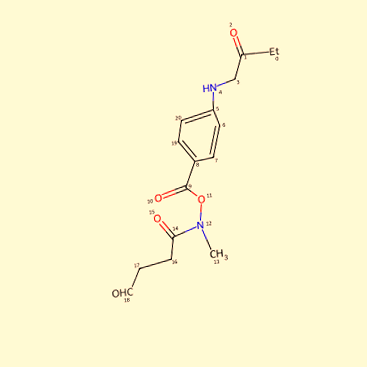 CCC(=O)CNc1ccc(C(=O)ON(C)C(=O)CCC=O)cc1